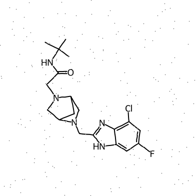 CC(C)(C)NC(=O)CN1CC2CC1CN2Cc1nc2c(Cl)cc(F)cc2[nH]1